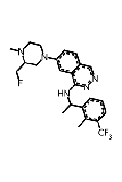 Cc1c(C(C)Nc2nncc3ccc(N4CCN(C)C(CF)C4)cc23)cccc1C(F)(F)F